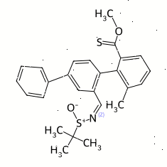 COC(=S)c1cccc(C)c1-c1ccc(-c2ccccc2)cc1/C=N\[S+]([O-])C(C)(C)C